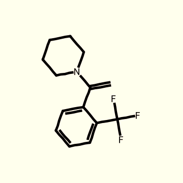 C=C(c1ccccc1C(F)(F)F)N1CCCCC1